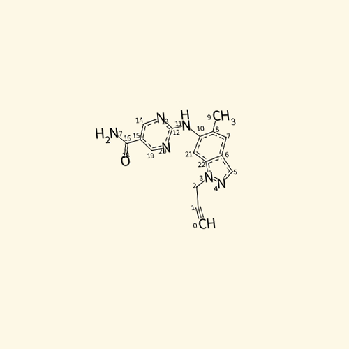 C#CCn1ncc2cc(C)c(Nc3ncc(C(N)=O)cn3)cc21